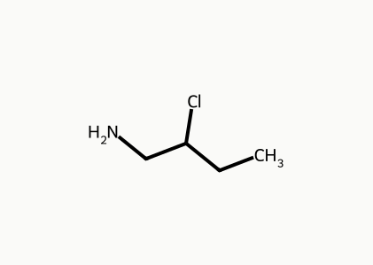 CCC(Cl)CN